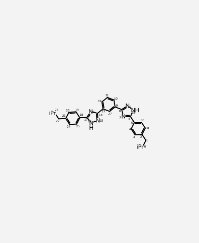 CC(C)Cc1ccc(-c2nc(-c3cccc(-c4n[nH]c(-c5ccc(CC(C)C)cc5)n4)c3)n[nH]2)cc1